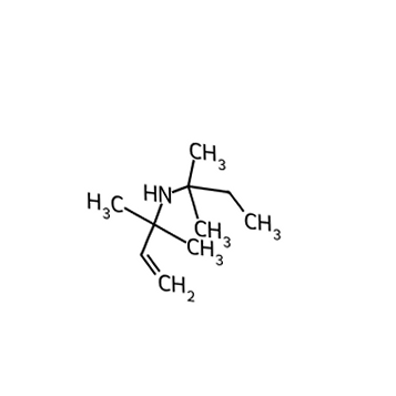 C=CC(C)(C)NC(C)(C)CC